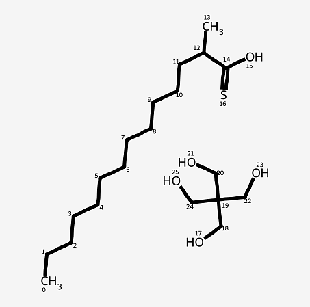 CCCCCCCCCCCCC(C)C(O)=S.OCC(CO)(CO)CO